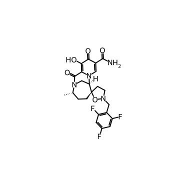 C[C@H]1CC[C@]2(CCN(Cc3c(F)cc(F)cc3F)O2)[C@H]2CN1C(=O)c1c(O)c(=O)c(C(N)=O)cn12